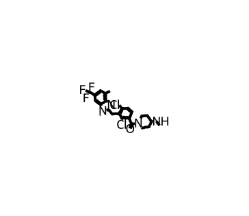 CNC1CCN(C(=O)c2ccc(Cl)c(Cc3nc4c(C)cc(C(F)(F)F)cc4n3C)c2Cl)CC1